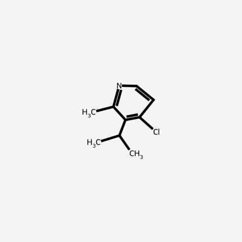 Cc1nccc(Cl)c1C(C)C